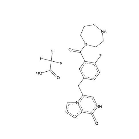 O=C(O)C(F)(F)F.O=C(c1cc(Cc2c[nH]c(=O)c3cccn23)ccc1F)N1CCCNCC1